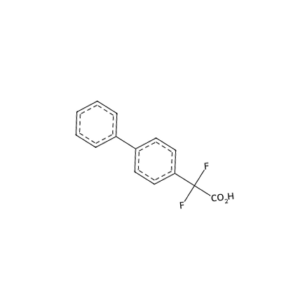 O=C(O)C(F)(F)c1ccc(-c2ccccc2)cc1